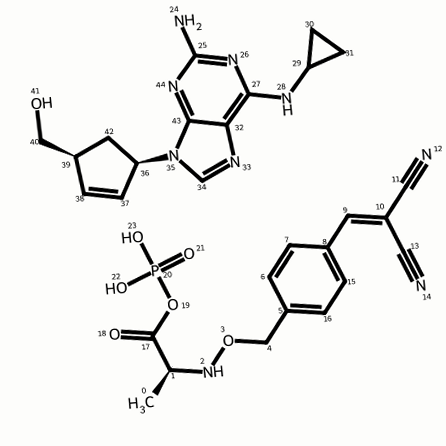 C[C@H](NOCc1ccc(C=C(C#N)C#N)cc1)C(=O)OP(=O)(O)O.Nc1nc(NC2CC2)c2ncn([C@H]3C=C[C@@H](CO)C3)c2n1